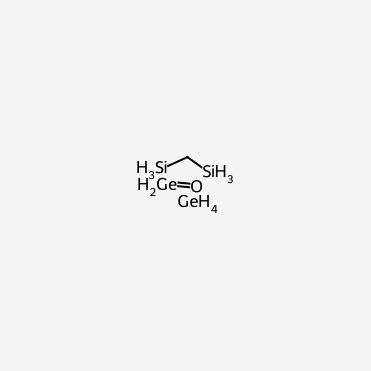 [GeH4].[O]=[GeH2].[SiH3]C[SiH3]